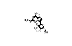 CSc1nc(N)c2ncc(C3O[C@H](CO)[C@@H](O)[C@@]3(C)F)n2n1